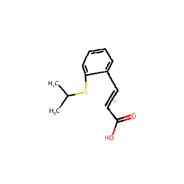 CC(C)Sc1ccccc1/C=C/C(=O)O